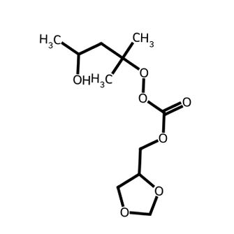 CC(O)CC(C)(C)OOC(=O)OCC1COCO1